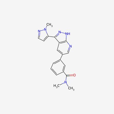 CN(C)C(=O)c1cccc(-c2cnc3[nH]nc(-c4ccnn4C)c3c2)c1